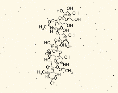 CC(=O)N[C@H]1C(O)[C@H](O[C@@H]2OC(CO)[C@H](O)C(O)[C@@H]2O)C(CO)O[C@H]1OC1C(O)[C@H](O)[C@@H](CO)O[C@@H]1OC1[C@H](O)C(CO)O[C@@H](O[C@@H]2C(CO)O[C@@H](O[C@@H]3C(CO)O[C@@H](C)[C@@H](NC(C)=O)C3O)[C@@H](NC(C)=O)C2O)[C@@H]1O